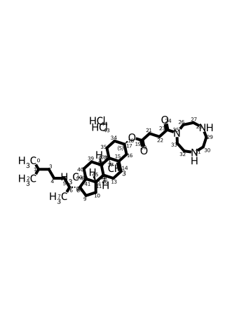 CC(C)CCCC(C)[C@H]1CC[C@H]2[C@@H]3CC=C4C[C@@H](OC(=O)CCC(=O)N5CCNCCNCC5)CC[C@]4(C)[C@H]3CC[C@]12C.Cl.Cl